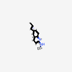 C/C=C/c1ccc2nc(NCC)ccc2c1